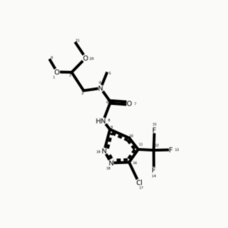 COC(CN(C)C(=O)Nc1cc(C(F)(F)F)c(Cl)nn1)OC